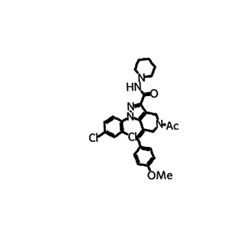 COc1ccc(/C=C2\CN(C(C)=O)Cc3c(C(=O)NN4CCCCC4)nn(-c4ccc(Cl)cc4Cl)c32)cc1